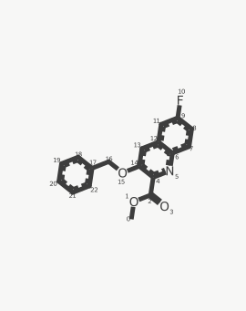 COC(=O)c1nc2ccc(F)cc2cc1OCc1ccccc1